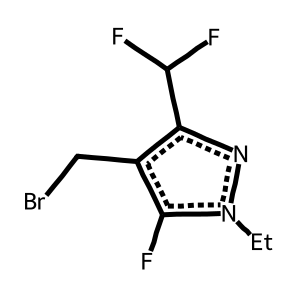 CCn1nc(C(F)F)c(CBr)c1F